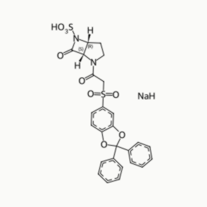 O=C(CS(=O)(=O)c1ccc2c(c1)OC(c1ccccc1)(c1ccccc1)O2)N1CC[C@@H]2[C@H]1C(=O)N2S(=O)(=O)O.[NaH]